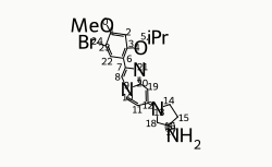 COc1cc(OC(C)C)c(-c2cn3ccc(N4CC[C@H](N)C4)cc3n2)cc1Br